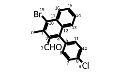 Cc1c(C=O)c(-c2ccc(Cl)cc2)c2ccccc2c1Br